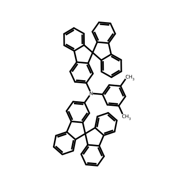 Cc1cc(C)cc(N(c2ccc3c(c2)C2(c4ccccc4-c4ccccc42)c2ccccc2-3)c2ccc3c(c2)C2(c4ccccc4-c4ccccc42)c2ccccc2-3)c1